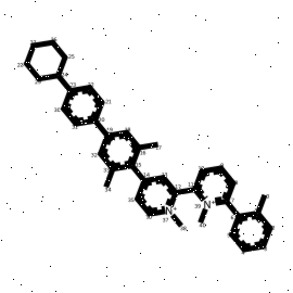 Cc1ccccc1-c1cccc(-c2cc(-c3c(C)cc(-c4ccc(C5CCCCC5)cc4)cc3C)cc[n+]2C)[n+]1C